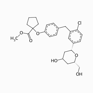 COC(=O)C1(Oc2ccc(Cc3cc([C@H]4CC(O)C[C@@H](CO)O4)ccc3Cl)cc2)CCCC1